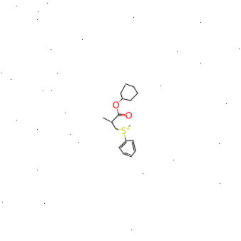 CC(C[S+](C)c1ccccc1)C(=O)OC1CCCCC1